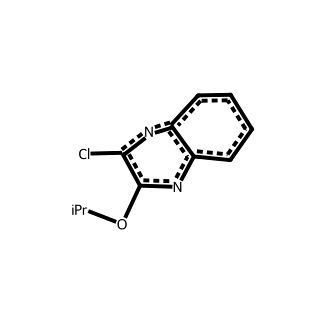 CC(C)Oc1nc2ccccc2nc1Cl